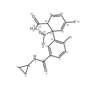 Cc1ccc(C(=O)NC2CC2)cc1C1([N+](=O)[O-])C=C(F)C=CC1C(N)=O